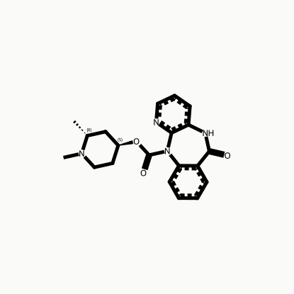 C[C@@H]1C[C@@H](OC(=O)N2c3ccccc3C(=O)Nc3cccnc32)CCN1C